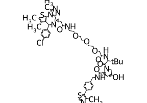 Cc1ncsc1-c1ccc(CNC(=O)[C@@H]2C[C@@H](O)CN2C(=O)C(NC(=O)COCCOCCOCCNC(=O)C[C@H]2N=C(c3ccc(Cl)cc3)c3c(sc(C)c3C)-n3c(C)nnc32)C(C)(C)C)cc1